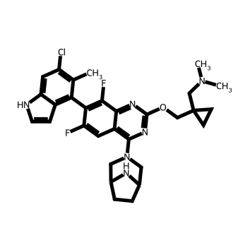 Cc1c(Cl)cc2[nH]ccc2c1-c1c(F)cc2c(N3CC4CCC(C3)N4)nc(OCC3(CN(C)C)CC3)nc2c1F